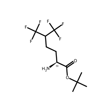 CC(C)(C)OC(=O)[C@@H](N)CCC(C(F)(F)F)C(F)(F)F